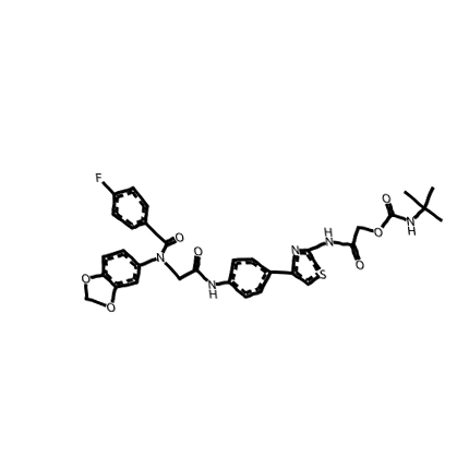 CC(C)(C)NC(=O)OCC(=O)Nc1nc(-c2ccc(NC(=O)CN(C(=O)c3ccc(F)cc3)c3ccc4c(c3)OCO4)cc2)cs1